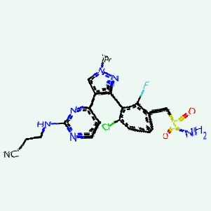 CC(C)n1cc(-c2ccnc(NCCC#N)n2)c(-c2c(Cl)ccc(CS(N)(=O)=O)c2F)n1